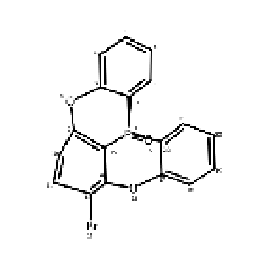 O=[P@]12c3ccccc3Oc3ccc(Br)c(c31)Oc1ccccc12